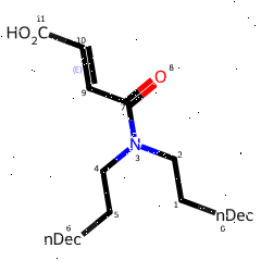 CCCCCCCCCCCCN(CCCCCCCCCCCC)C(=O)/C=C/C(=O)O